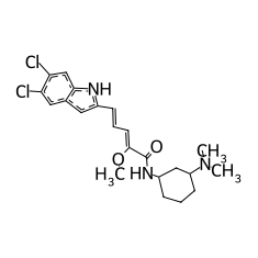 CO/C(=C\C=C\c1cc2cc(Cl)c(Cl)cc2[nH]1)C(=O)NC1CCCC(N(C)C)C1